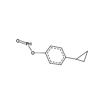 O=[PH]Oc1ccc(C2CC2)cc1